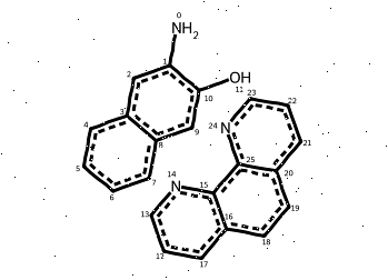 Nc1cc2ccccc2cc1O.c1cnc2c(c1)ccc1cccnc12